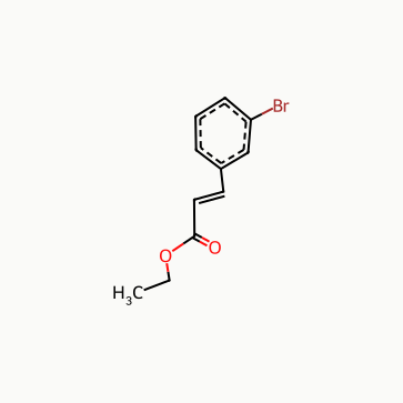 CCOC(=O)/C=C/c1cccc(Br)c1